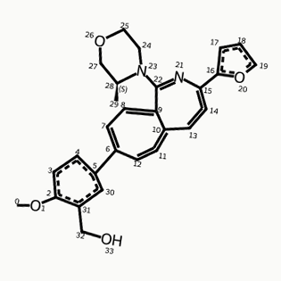 COc1ccc(C2=CC=C3C(=C=C2)C=C=C(c2ccco2)N=C3N2CCOC[C@@H]2C)cc1CO